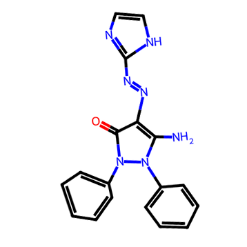 Nc1c(N=Nc2ncc[nH]2)c(=O)n(-c2ccccc2)n1-c1ccccc1